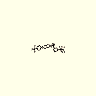 O=C(c1cccc(C2(O)COC2)c1)N1CC2CN(c3ccc(C(F)(F)F)cc3)CC2C1